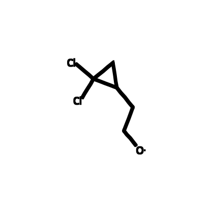 [O]CCC1CC1(Cl)Cl